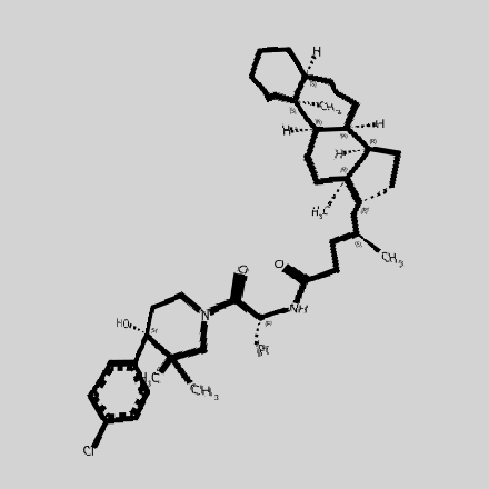 CC(C)[C@@H](NC(=O)CC[C@H](C)[C@H]1CC[C@@H]2[C@@H]3CC[C@@H]4CCCC[C@]4(C)[C@@H]3CC[C@@]21C)C(=O)N1CC[C@](O)(c2ccc(Cl)cc2)C(C)(C)C1